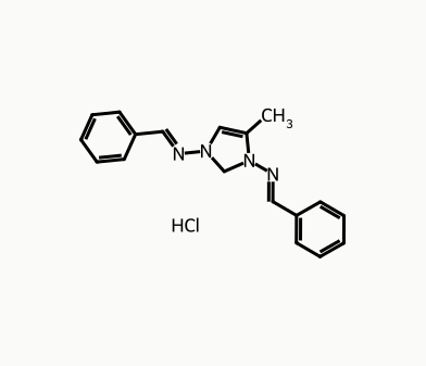 CC1=CN(N=Cc2ccccc2)CN1N=Cc1ccccc1.Cl